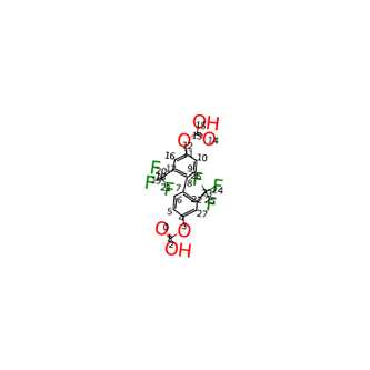 O=C(O)Oc1ccc(-c2ccc(OC(=O)O)cc2C(F)(F)F)c(C(F)(F)F)c1